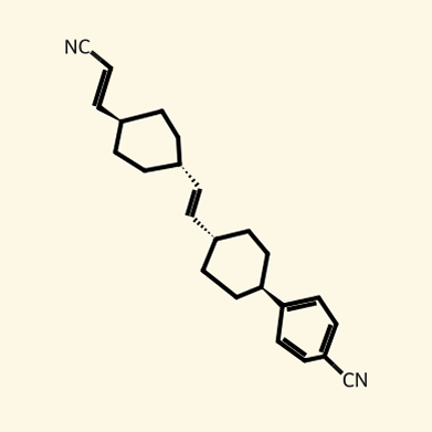 N#CC=C[C@H]1CC[C@H](C=C[C@H]2CC[C@H](c3ccc(C#N)cc3)CC2)CC1